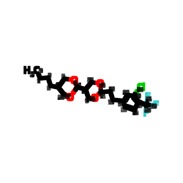 CCCCC1COC(C2COC(CCc3ccc(C(F)(F)F)c(Cl)c3)OC2)OC1